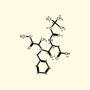 COC(=O)C(C)N(Cc1ccccc1)C(=O)C(CC(=O)O)NC(=O)OC(C)(C)C